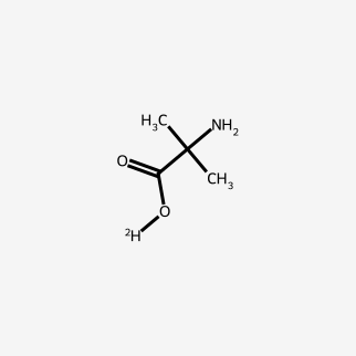 [2H]OC(=O)C(C)(C)N